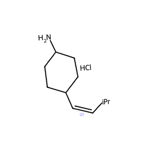 CC(C)/C=C\C1CCC(N)CC1.Cl